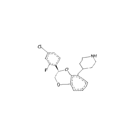 Fc1cc(Cl)ccc1[C@@H]1COc2cccc(C3CCNCC3)c2O1